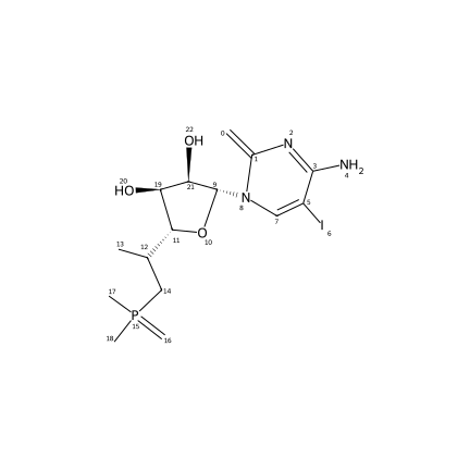 C=C1N=C(N)C(I)=CN1[C@@H]1O[C@H](C(C)CP(=C)(C)C)[C@@H](O)[C@H]1O